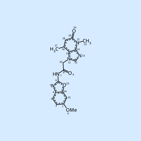 COc1ccc2nc(NC(=O)Cn3cnc4c3c(C)cc(=O)n4C)oc2c1